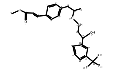 COC(=O)C=Cc1ccc(CC(C)ONCC(O)c2cccc(C(F)(F)F)c2)cc1